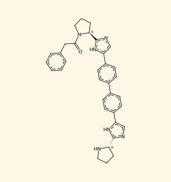 O=C(Cc1ccccc1)N1CCC[C@H]1c1ncc(-c2ccc(-c3ccc(-c4cnc([C@@H]5CCCN5)[nH]4)cc3)cc2)[nH]1